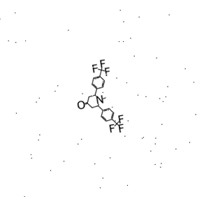 CN1C(c2ccc(C(F)(F)F)cc2)CC(=O)CC1c1ccc(C(F)(F)F)cc1